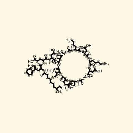 CCC(C)CCCCCCC(=O)NC(Cc1c[nH]c2ccccc12)C(=O)NC(CCC(=O)O)C(=O)NC(CC(=O)O)C(=O)NC1C(=O)N(C)CC(=O)NC(CCCN)C(=O)NC(CC(=O)O)C(=O)NC(CCCCN)C(=O)NC(CC(=O)O)C(=O)NCC(=O)NC(CO)C(=O)NC(CCC(=O)O)C(=O)NC(C(C)CC)C(=O)OC1C